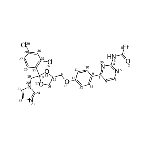 CCC(=O)Nc1nccc(-c2ccc(OCC3COC(Cn4ccnc4)(c4ccc(Cl)cc4Cl)O3)cc2)n1